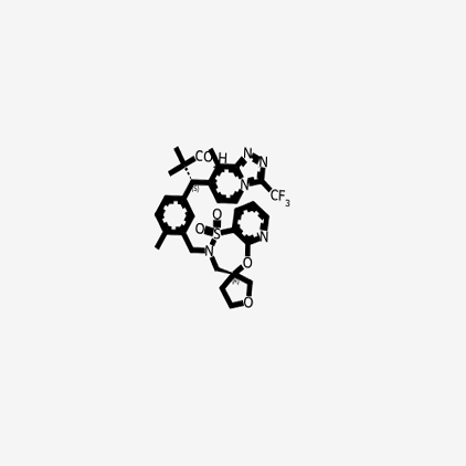 Cc1ccc([C@@H](c2ccn3c(C(F)(F)F)nnc3c2C)C(C)(C)C(=O)O)cc1CN1C[C@@]2(CCOC2)Oc2ncccc2S1(=O)=O